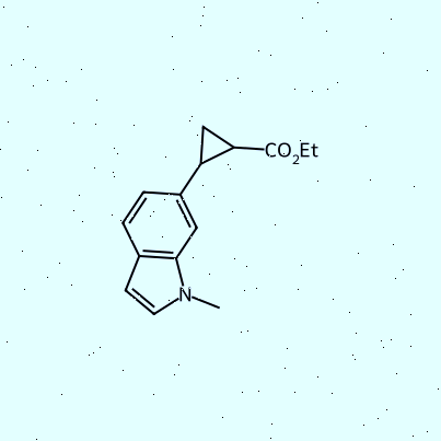 CCOC(=O)C1CC1c1ccc2ccn(C)c2c1